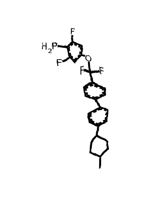 CC1CCC(c2ccc(-c3ccc(C(F)(F)Oc4cc(F)c(P)c(F)c4)cc3)cc2)CC1